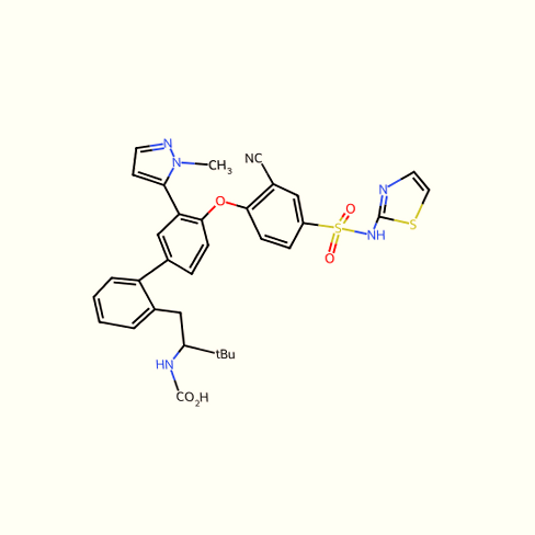 Cn1nccc1-c1cc(-c2ccccc2CC(NC(=O)O)C(C)(C)C)ccc1Oc1ccc(S(=O)(=O)Nc2nccs2)cc1C#N